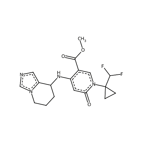 COC(=O)c1cn(C2(C(F)F)CC2)c(=O)cc1NC1CCCn2cncc21